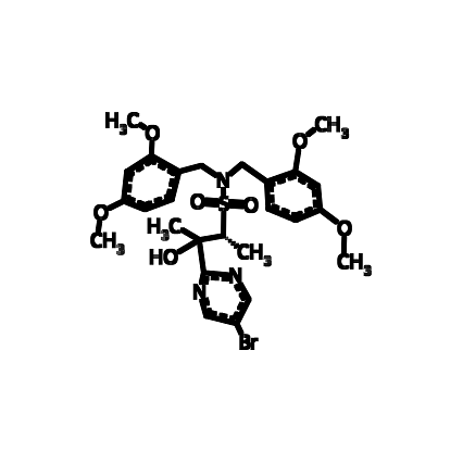 COc1ccc(CN(Cc2ccc(OC)cc2OC)S(=O)(=O)[C@H](C)C(C)(O)c2ncc(Br)cn2)c(OC)c1